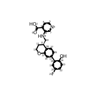 O=C(O)c1ccncc1NC[C@@H]1CCOc2cc(-c3cc(F)ccc3O)ccc21